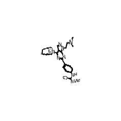 CNC(=O)Nc1ccc(-c2nc(N3CC4CCC(C3)O4)c3cnn(CCN(C)C)c3n2)cc1